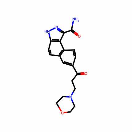 NC(=O)c1n[nH]c2ccc3cc(C(=O)CCN4CCOCC4)ccc3c12